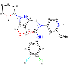 COc1cc(N(Cc2nn(C3CCCCO3)c3c2COC3)C(=O)Nc2ccc(F)c(Cl)c2)ccn1